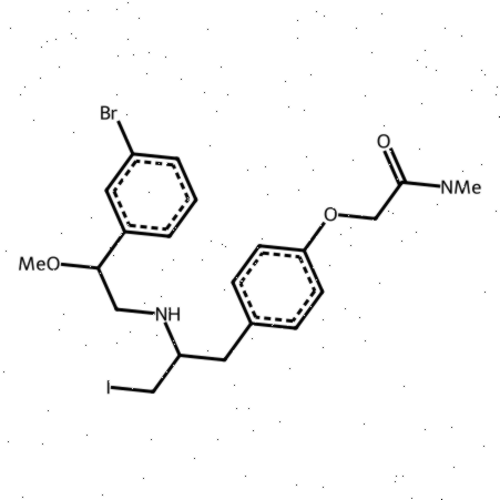 CNC(=O)COc1ccc(CC(CI)NCC(OC)c2cccc(Br)c2)cc1